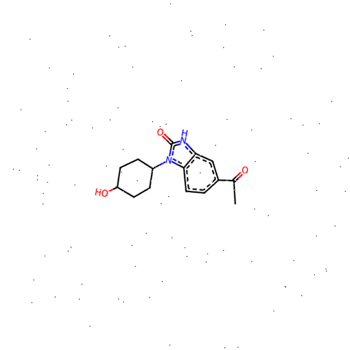 CC(=O)c1ccc2c(c1)[nH]c(=O)n2C1CCC(O)CC1